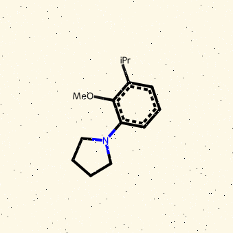 COc1c(C(C)C)cccc1N1CCCC1